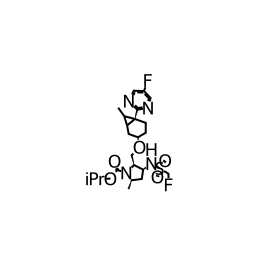 CC(C)OC(=O)N1[C@H](C)C[C@H](NS(=O)(=O)CF)[C@@H]1CO[C@H]1CC[C@@]2(c3ncc(F)cn3)C(C)C2C1